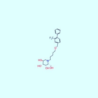 OC[C@@H]1[C@H](O)[C@H](O)[C@@H](O)CN1CCCCCOCc1ccc(-c2ccccc2)c(C(F)(F)F)c1